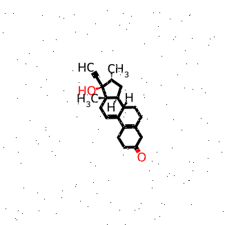 C#C[C@]1(O)[C@H](C)C[C@H]2[C@@H]3CCC4=C(CCC(=O)C4)C3=CC[C@@]21C